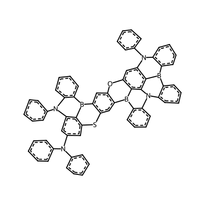 c1ccc(N(c2ccccc2)c2cc3c4c(c2)N(c2ccccc2)c2ccccc2B4c2cc4c(cc2S3)B2c3ccccc3N3c5ccccc5B5c6ccccc6N(c6ccccc6)c6cc(c2c3c65)O4)cc1